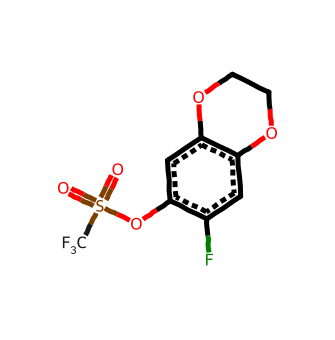 O=S(=O)(Oc1cc2c(cc1F)OCCO2)C(F)(F)F